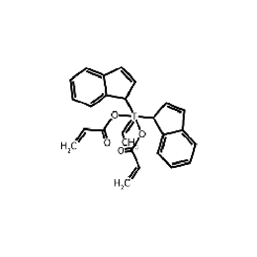 C=CC(=O)[O][Ti](=[CH]C)([O]C(=O)C=C)([CH]1C=Cc2ccccc21)[CH]1C=Cc2ccccc21